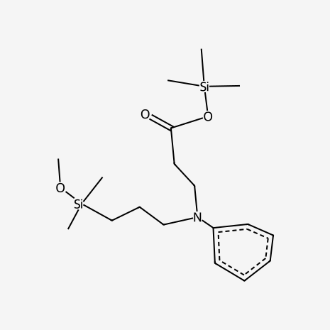 CO[Si](C)(C)CCCN(CCC(=O)O[Si](C)(C)C)c1ccccc1